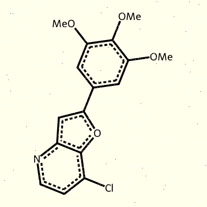 COc1cc(-c2cc3nccc(Cl)c3o2)cc(OC)c1OC